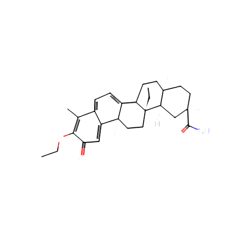 CCOC1=C(C)C2=CC=C3[C@@](C)(CC[C@@]4(CC)[C@@H]5C[C@](C)(C(N)=O)CC[C@]5(C)CC[C@]34C)C2=CC1=O